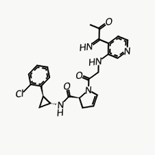 CC(=O)C(=N)c1ccncc1NCC(=O)N1C=CC[C@H]1C(=O)N[C@@H]1C[C@H]1c1ccccc1Cl